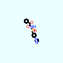 CP(=O)(CNC(=O)C(=O)c1ccccc1)Cc1ccc(-n2ccnc2)cc1